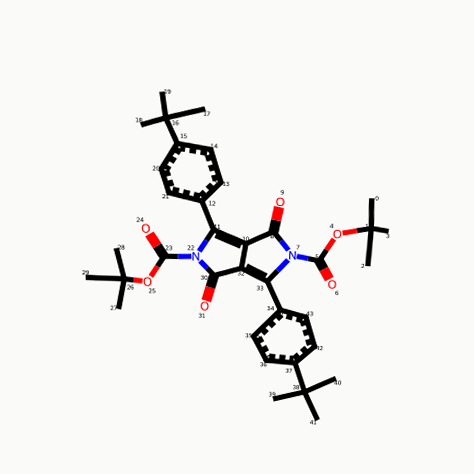 CC(C)(C)OC(=O)N1C(=O)C2=C(c3ccc(C(C)(C)C)cc3)N(C(=O)OC(C)(C)C)C(=O)C2=C1c1ccc(C(C)(C)C)cc1